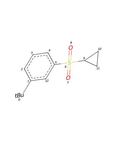 CC(C)(C)c1cccc(S(=O)(=O)C2CC2)c1